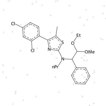 CCCN(c1nc(-c2ccc(Cl)cc2Cl)c(C)s1)C(c1ccccc1)C(OC)OCC